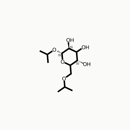 CC(C)OCC1O[C@H](OC(C)C)[C@@H](O)C(O)[C@@H]1O